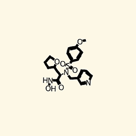 COc1ccc(S(=O)(=O)N(Cc2cccnc2)[C@H](C(=O)NO)C2CCCO2)cc1